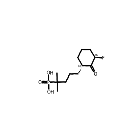 CC(C)(CCC[C@@H]1CCC[C@@H](F)C1=O)P(=O)(O)O